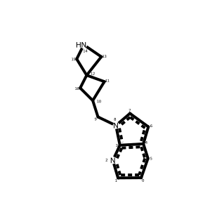 c1cnc2c(c1)ccn2CC1CC2(CNC2)C1